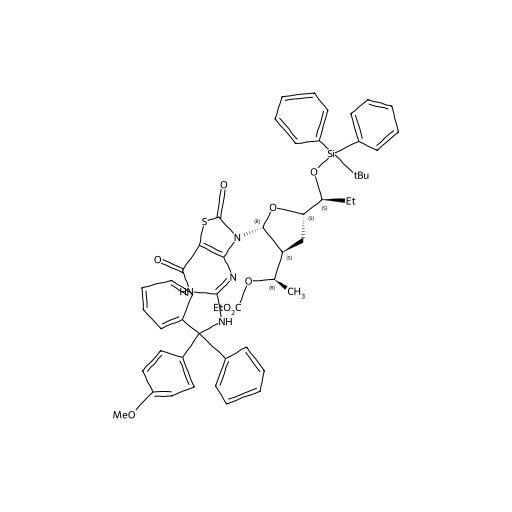 CCOC(=O)O[C@H](C)[C@@H]1C[C@@H]([C@H](CC)O[Si](c2ccccc2)(c2ccccc2)C(C)(C)C)O[C@H]1n1c(=O)sc2c(=O)[nH]c(NC(c3ccccc3)(c3ccccc3)c3ccc(OC)cc3)nc21